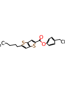 CCCCCc1cc2sc(C(=O)Oc3ccc(CC)cc3)cc2s1